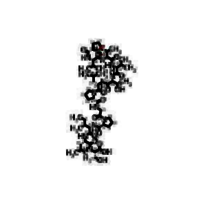 CC[C@H](C)[C@H](NC(=O)[C@@H]1CCCN1C(=O)CNC(=O)[C@@H]1CCCN1C(=O)[C@H](CC(C)C)NC(=O)[C@@H](NC(=O)[C@@H](NC(=O)[C@@H](NC(=O)[C@@H](NC(=O)[C@@H]1CCCN1)C(C)C)C(C)C)C(C)C)[C@@H](C)O)C(=O)N[C@@H](CC(C)C)C(=O)N[C@@H](CO)C(=O)O